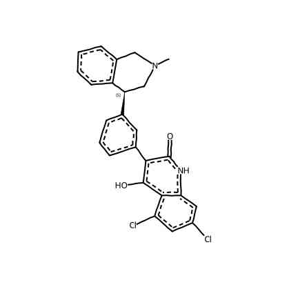 CN1Cc2ccccc2[C@H](c2cccc(-c3c(O)c4c(Cl)cc(Cl)cc4[nH]c3=O)c2)C1